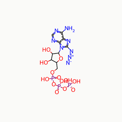 [N-]=[N+]=Nc1nc2c(N)ncnc2n1C1OC(COP(=O)(O)OP(=O)(O)OP(=O)(O)O)C(O)C1O